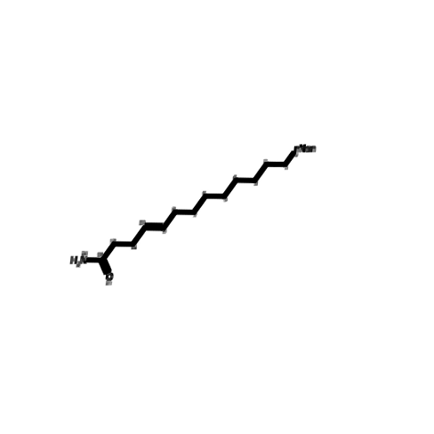 CCCCCCCCCCCCCCCCC/C=C/CCC(N)=O